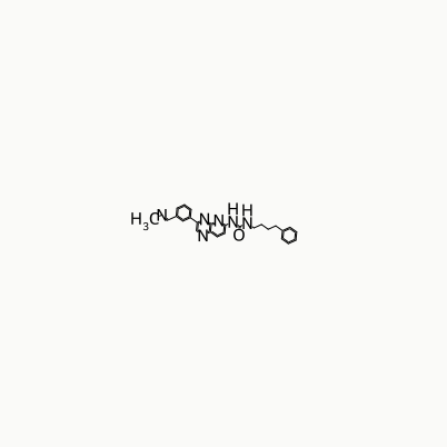 C/N=C/c1cccc(-c2cnc3ccc(NC(=O)NCCCCc4ccccc4)nc3n2)c1